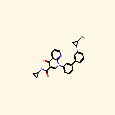 O=C(NC1CC1)c1cn(-c2cccc(-c3cccc([C@@H]4C[C@H]4C(=O)O)c3)c2)c2ncccc2c1=O